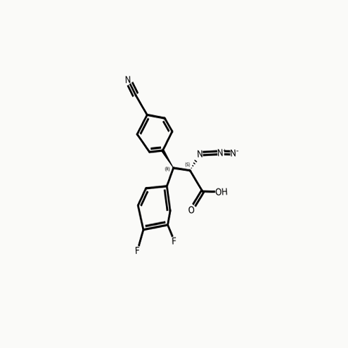 N#Cc1ccc([C@H](c2ccc(F)c(F)c2)[C@H](N=[N+]=[N-])C(=O)O)cc1